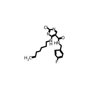 C=CCCCCCNc1nc(Cl)ncc1C(=O)NCc1ccc(F)cc1